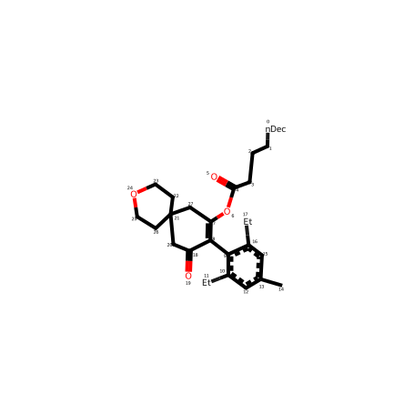 CCCCCCCCCCCCCC(=O)OC1=C(c2c(CC)cc(C)cc2CC)C(=O)CC2(CCOCC2)C1